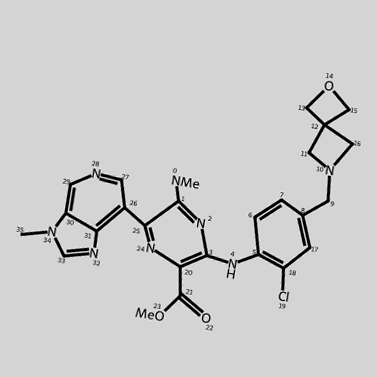 CNc1nc(Nc2ccc(CN3CC4(COC4)C3)cc2Cl)c(C(=O)OC)nc1-c1cncc2c1ncn2C